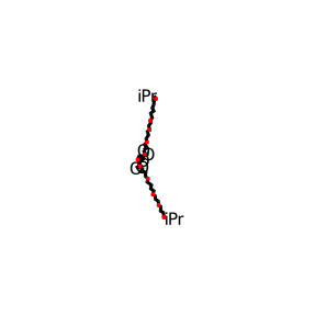 CC(C)CCCCCCCCCCCCCCCCCOC(=O)c1ccc(C(=O)OCCCCCCCCCCCCCCCCCC(C)C)o1